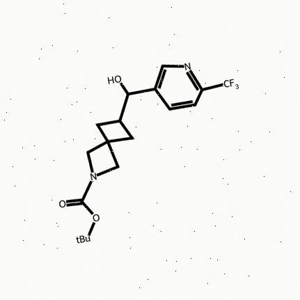 CC(C)(C)OC(=O)N1CC2(CC(C(O)c3ccc(C(F)(F)F)nc3)C2)C1